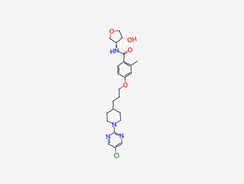 Cc1cc(OCCCC2CCN(c3ncc(Cl)cn3)CC2)ccc1C(=O)N[C@H]1COC[C@@H]1O